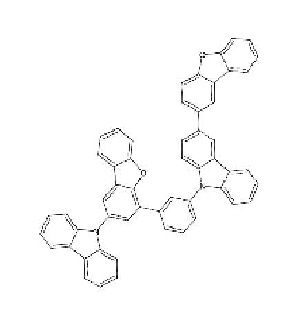 c1cc(-c2cc(-n3c4ccccc4c4ccccc43)cc3c2oc2ccccc23)cc(-n2c3ccccc3c3cc(-c4ccc5oc6ccccc6c5c4)ccc32)c1